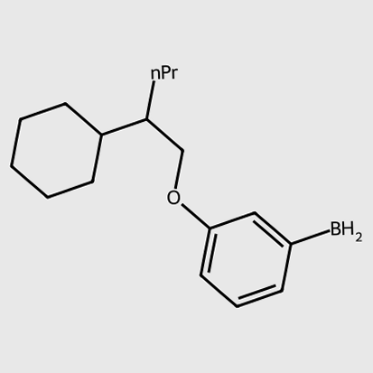 Bc1cccc(OCC(CCC)C2CCCCC2)c1